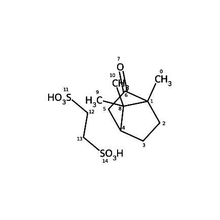 CC12CCC(CC1=O)C2(C)C.O=S(=O)(O)CCS(=O)(=O)O